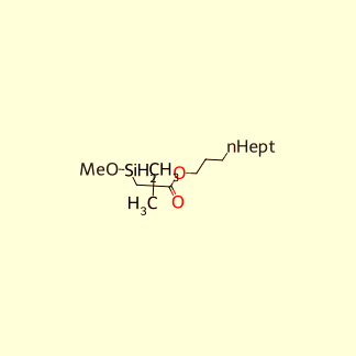 CCCCCCCCCCOC(=O)C(C)(C)C[SiH2]OC